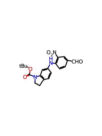 CC(C)(C)OC(=O)N1CCc2ccc(Nc3ccc(C=O)cc3[N+](=O)[O-])cc21